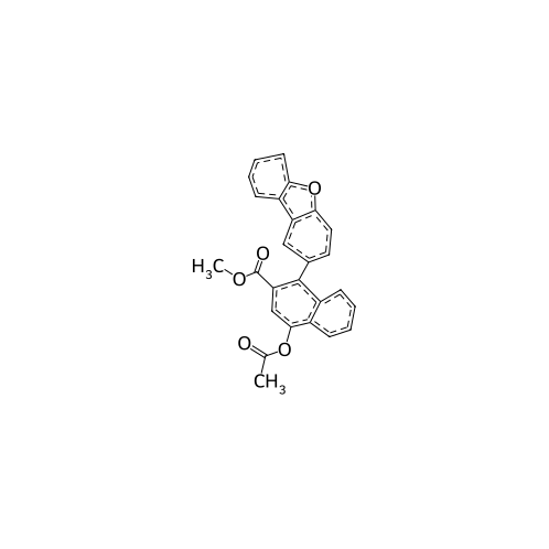 COC(=O)c1cc(OC(C)=O)c2ccccc2c1-c1ccc2oc3ccccc3c2c1